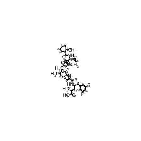 CC(=O)O[C@H](C[C@H](C(C)C)N(C)C(=O)[C@@H](NC(=O)[C@H]1CCCCN1C)C1CC1)c1nc(C(=O)N[C@@H](Cc2cc(F)cc(F)c2)C[C@H](C)C(=O)O)cs1